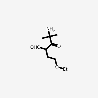 CCOCCC(C=O)C(=O)C(C)(C)N